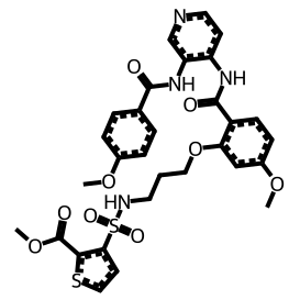 COC(=O)c1sccc1S(=O)(=O)NCCCOc1cc(OC)ccc1C(=O)Nc1ccncc1NC(=O)c1ccc(OC)cc1